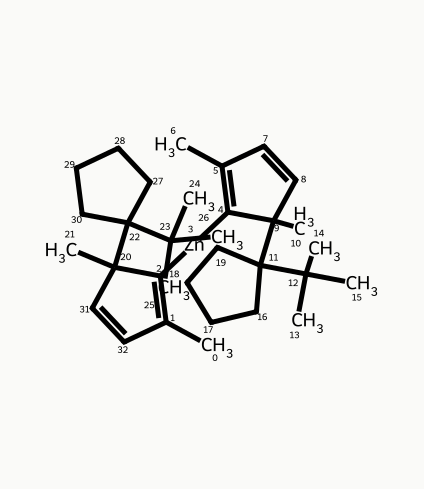 CC1=[C]([Zn][C]2=C(C)C=CC2(C)C2(C(C)(C)C)CCCC2)C(C)(C2(C(C)(C)C)CCCC2)C=C1